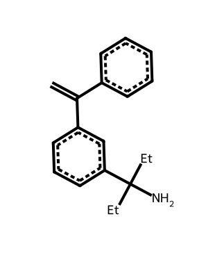 C=C(c1ccccc1)c1cccc(C(N)(CC)CC)c1